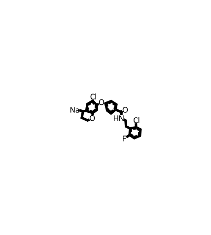 O=C(NCCc1c(F)cccc1Cl)c1ccc(Oc2cc3c(cc2Cl)[CH]([Na])CCO3)cc1